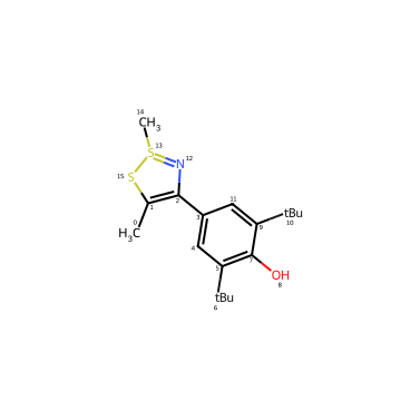 CC1=C(c2cc(C(C)(C)C)c(O)c(C(C)(C)C)c2)N=S(C)S1